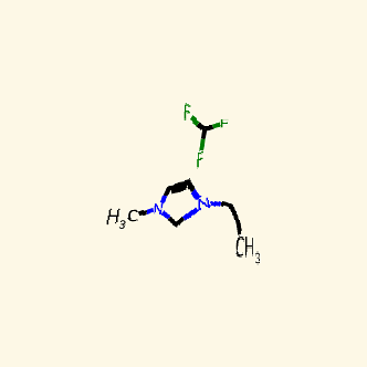 CCN1C=CN(C)C1.FC(F)F